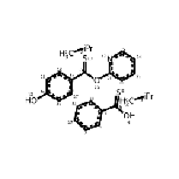 CC(C)C.CC(C)C.OC(=S)c1ccccc1.Oc1ccc(C(=S)Oc2ccccn2)cc1